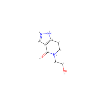 O=C1c2cn[nH]c2CCN1CCO